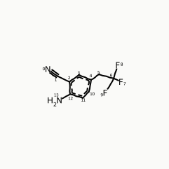 N#Cc1cc(CC(F)(F)F)ccc1N